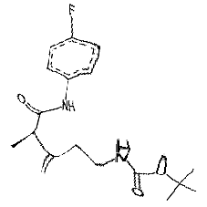 C=C(CCNC(=O)OC(C)(C)C)[C@@H](C)C(=O)Nc1ccc(F)cc1